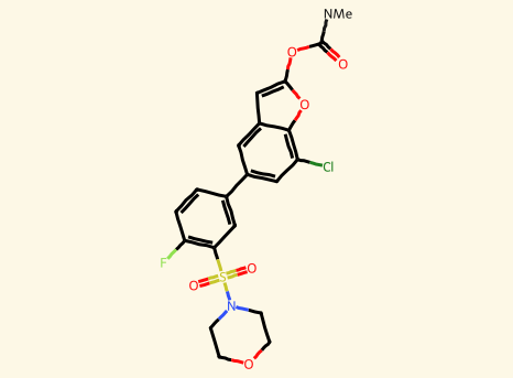 CNC(=O)Oc1cc2cc(-c3ccc(F)c(S(=O)(=O)N4CCOCC4)c3)cc(Cl)c2o1